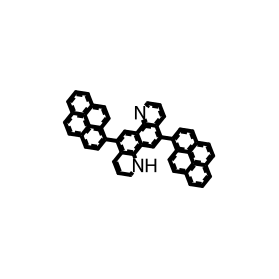 C1=Cc2c(-c3ccc4ccc5cccc6ccc3c4c56)cc3c(cc(-c4ccc5ccc6cccc7ccc4c5c67)c4cccnc43)c2NC1